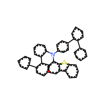 c1ccc(-c2ccccc2-c2ccc(N(c3ccccc3-c3ccccc3-c3ccccc3)c3cccc4c3sc3ccccc34)cc2)cc1